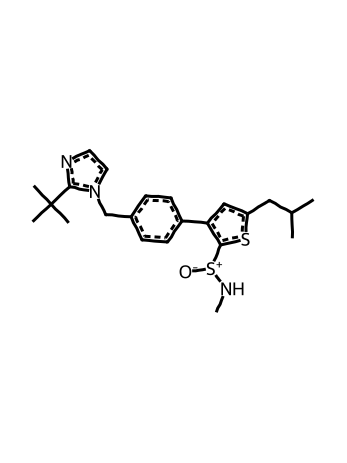 CN[S+]([O-])c1sc(CC(C)C)cc1-c1ccc(Cn2ccnc2C(C)(C)C)cc1